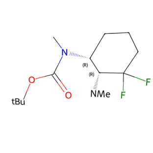 CN[C@@H]1[C@H](N(C)C(=O)OC(C)(C)C)CCCC1(F)F